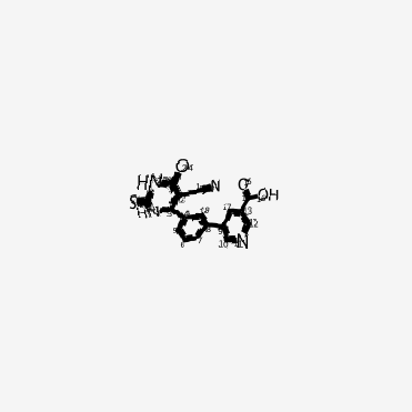 N#Cc1c(-c2cccc(-c3cncc(C(=O)O)c3)c2)[nH]c(=S)[nH]c1=O